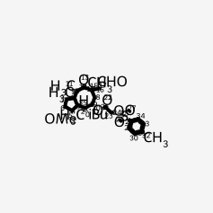 CC[C@@H](C)[C@]1(C)[C@@H]2[C@H](OC)CC[C@@]2(C)[C@@H](C)C(=O)[C@@](C)(CC=O)C[C@H]1OC(=O)COS(=O)(=O)c1ccc(C)cc1